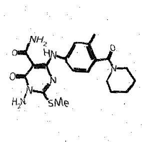 CSc1nc(Nc2ccc(C(=O)N3CCCCC3)c(C)c2)c(C(N)=O)c(=O)n1N